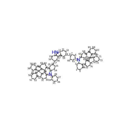 c1ccc(N(c2ccc(-c3ccc4[nH]c5ccc(-c6ccc(N(c7ccccc7)c7ccc8c(c7)C7(c9ccccc9-c9ccccc97)c7ccccc7-8)cc6)cc5c4c3)cc2)c2ccc3c(c2)C2(c4ccccc4-c4ccccc42)c2ccccc2-3)cc1